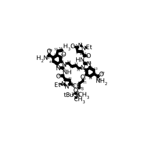 CCn1nc(C)cc1C(=O)Nc1nc2cc(C(N)=O)cc(OCCCO[Si](C)(C)C(C)(C)C)c2n1C/C=C/Cn1c(NC(=O)c2cc(C)nn2CC)nc2cc(C(N)=O)c3ccoc3c21